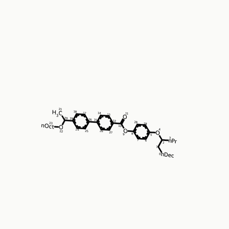 CCCCCCCCCCCC(CCC)Oc1ccc(OC(=O)c2ccc(-c3ccc(C(C)OCCCCCCCC)cc3)cc2)cc1